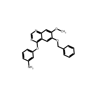 COc1cc2ncnc(Oc3cccc(N)c3)c2cc1OCc1ccccc1